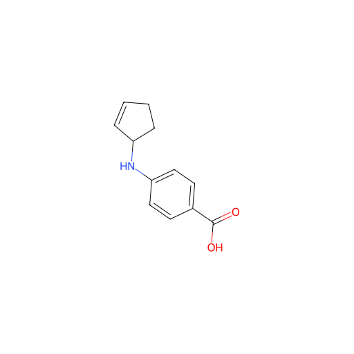 O=C(O)c1ccc(NC2C=CCC2)cc1